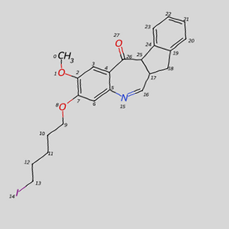 COc1cc2c(cc1OCCCCCI)N=CC1Cc3ccccc3C1C2=O